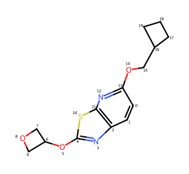 c1cc2nc(OC3COC3)sc2nc1OCC1CCC1